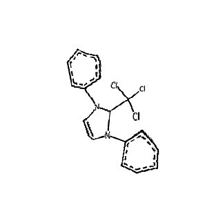 ClC(Cl)(Cl)C1N(c2ccccc2)C=CN1c1ccccc1